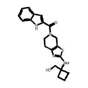 O=C(c1cc2ccccc2[nH]1)N1CCc2nc(NC3(CO)CCC3)sc2C1